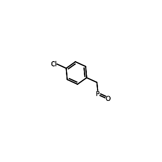 O=PCc1ccc(Cl)cc1